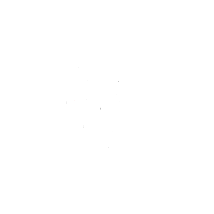 Cc1cc(C)c(C)c(C(=O)C(C)C)c1C